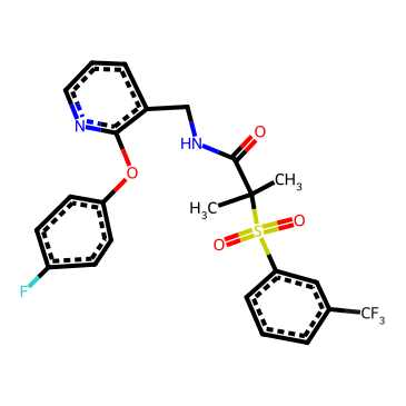 CC(C)(C(=O)NCc1cccnc1Oc1ccc(F)cc1)S(=O)(=O)c1cccc(C(F)(F)F)c1